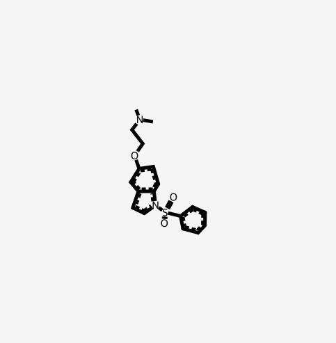 CN(C)CCOc1ccc2c(ccn2S(=O)(=O)c2ccccc2)c1